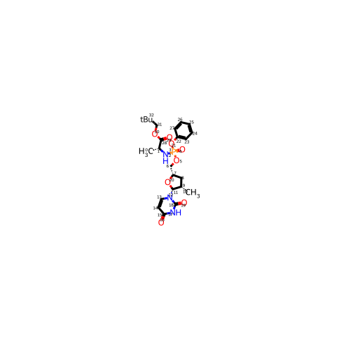 C[C@@H](NP(=O)(OC[C@@H]1C[C@H](C)[C@H](n2ccc(=O)[nH]c2=O)O1)Oc1ccccc1)C(=O)OCC(C)(C)C